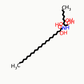 CCCCCCCCCCCCCCCCCCCCCCC(O)C(=O)NC(CO)C(O)C(O)CCCCCC